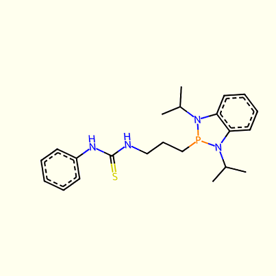 CC(C)N1c2ccccc2N(C(C)C)P1CCCNC(=S)Nc1ccccc1